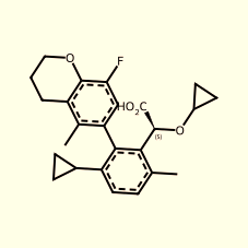 Cc1ccc(C2CC2)c(-c2cc(F)c3c(c2C)CCCO3)c1[C@H](OC1CC1)C(=O)O